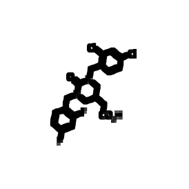 O=C(O)CC1CN(Cc2ccc(F)cc2F)C(=O)N(Cc2ccc(Cl)cc2Cl)C1